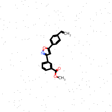 C=Cc1ccc(-c2cc(-c3cccc(C(=O)OC)c3)no2)cc1